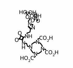 O=C(O)CN1CCN(CCNc2c(NCCc3cn(CC(O)(OP(O)O)O[PH](=O)O)cn3)c(=O)c2=O)CCN(CC(=O)O)CCN(CC(=O)O)CC1